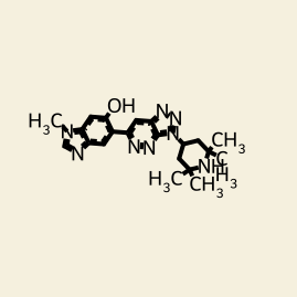 Cn1cnc2cc(-c3cc4nnn(C5CC(C)(C)NC(C)(C)C5)c4nn3)c(O)cc21